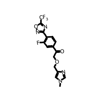 Cn1cnc(COCC(=O)c2ccc(-c3noc(C(F)(F)F)n3)c(F)c2)c1